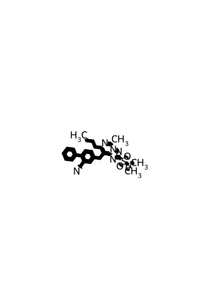 CCCCc1nc(C)n2nc(S(=O)(=O)N(C)C)nc2c1Cc1ccc(-c2ccccc2)c(C#N)c1